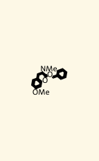 CN[C@@H](Cc1ccc(OC)cc1)C(=O)OCc1ccccc1